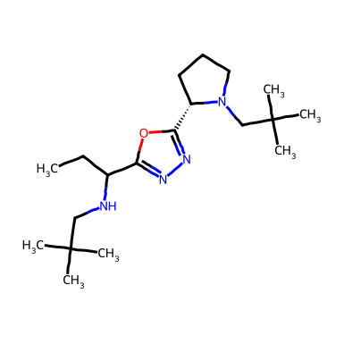 CCC(NCC(C)(C)C)c1nnc([C@@H]2CCCN2CC(C)(C)C)o1